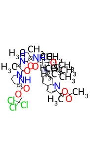 CC(=O)O[C@H](C)c1ccc2ccc(/C=C/C(C)(C(=O)N[C@H](C(=O)N[C@@H](C)C(=O)N3CCC[C@@H](C(=O)OCC(Cl)(Cl)Cl)N3)C(C)C)C(C)(C)O[Si](C)(C)C(C)(C)C)cc2n1